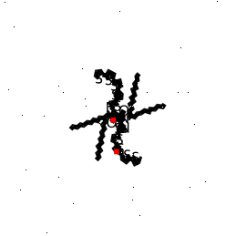 CCCCCCCCCCCCC(CCCCCCCCCC)CN1C(=O)C2=C(c3ncc(-c4ccc(-c5ccc(-c6ccc(-c7cccs7)s6)s5)s4)s3)N(CC(CCCCCCCCCC)CCCCCCCCCCCC)C(=O)C2=C1c1ncc(-c2ccc(-c3ccc(-c4ccc(-c5cccs5)s4)s3)s2)s1